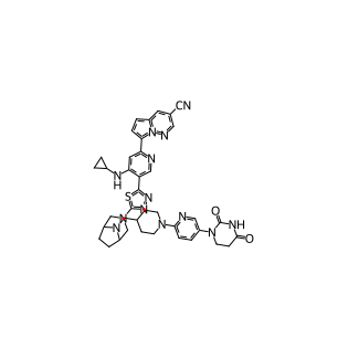 N#Cc1cnn2c(-c3cc(NC4CC4)c(-c4nnc(N5CC6CCC(C5)N6CC5CCN(c6ccc(N7CCC(=O)NC7=O)cn6)CC5)s4)cn3)ccc2c1